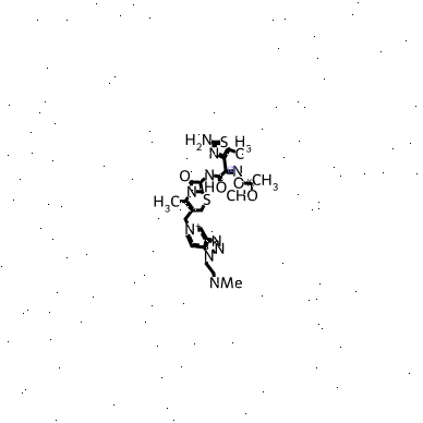 CNCCn1nnc2c[n+](CC3=C(C)N4C(=O)C(NC(=O)/C(=N\O[C@@H](C)C=O)c5nc(N)sc5C)C4SC3)ccc21